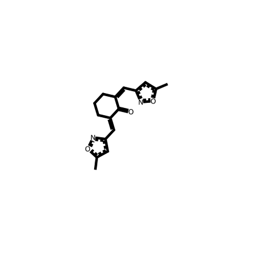 Cc1cc(C=C2CCCC(=Cc3cc(C)on3)C2=O)no1